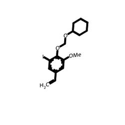 C=Cc1cc(I)c(OCOC2CCCCC2)c(OC)c1